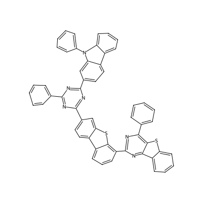 c1ccc(-c2nc(-c3ccc4c(c3)sc3c(-c5nc(-c6ccccc6)c6sc7ccccc7c6n5)cccc34)nc(-c3ccc4c5ccccc5n(-c5ccccc5)c4c3)n2)cc1